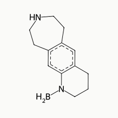 BN1CCCc2cc3c(cc21)CCNCC3